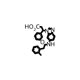 Cc1ccccc1CC(=O)Nc1ccc2ncn(C(CC(=O)O)c3ccccc3)c2c1